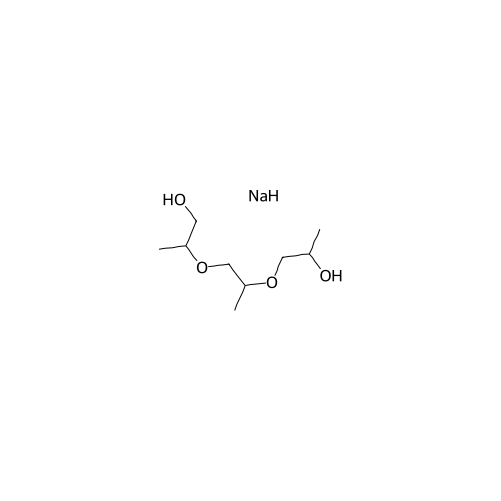 CC(O)COC(C)COC(C)CO.[NaH]